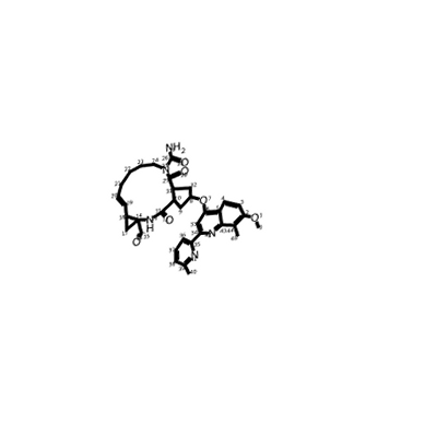 COc1ccc2c(OC3CC4C(=O)NC5([C]=O)CC5/C=C/CCCCN(C(N)=O)C(=O)C4C3)cc(-c3cccc(C)n3)nc2c1C